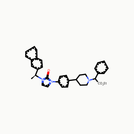 CCOC(=O)C(c1ccccc1)N1CCC(c2ccc(-n3ccn([C@@H](C)c4ccc5ccccc5c4)c3=O)cc2)CC1